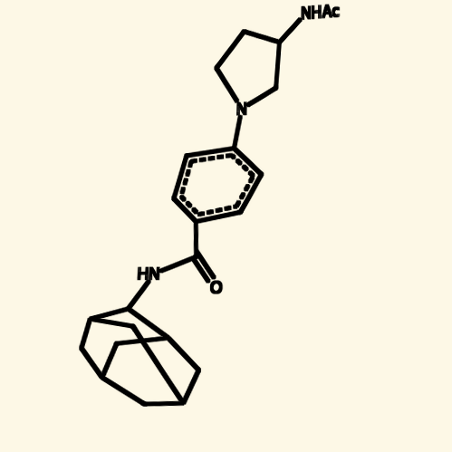 CC(=O)NC1CCN(c2ccc(C(=O)NC3C4CC5CC(C4)CC3C5)cc2)C1